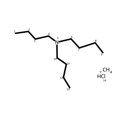 C.CCCCN(CCCC)CCCC.Cl